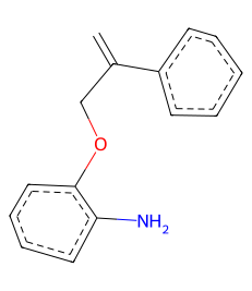 C=C(COc1ccccc1N)c1ccccc1